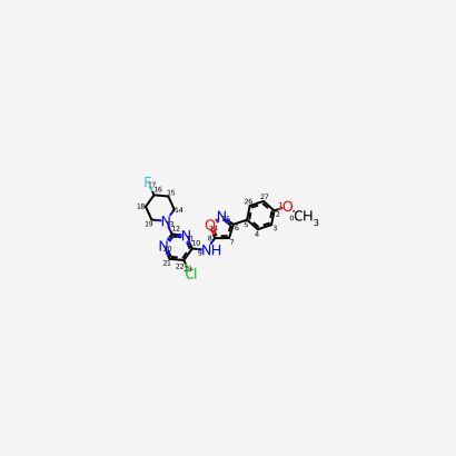 COc1ccc(-c2cc(Nc3nc(N4CCC(F)CC4)ncc3Cl)on2)cc1